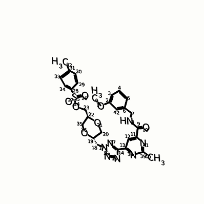 COc1cccc(CNC(=O)c2cc(-c3nnn(C[C@H]4CO[C@H](COS(=O)(=O)c5ccc(C)cc5)CO4)n3)nc(C)n2)c1